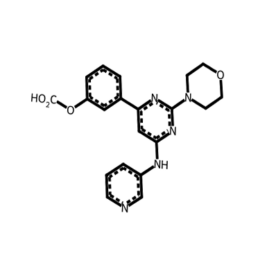 O=C(O)Oc1cccc(-c2cc(Nc3cccnc3)nc(N3CCOCC3)n2)c1